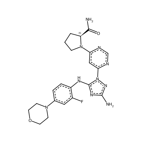 NC(=O)[C@@H]1CCCN1c1cc(-n2nc(N)nc2Nc2ccc(N3CCOCC3)cc2F)ncn1